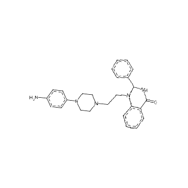 Nc1ccc(N2CCN(CCN3c4ccccc4C(=O)NC3c3ccccc3)CC2)cc1